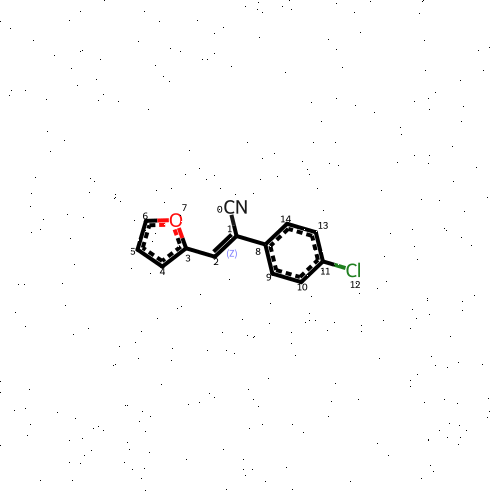 N#C/C(=C\c1ccco1)c1ccc(Cl)cc1